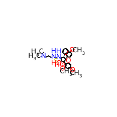 CCN(CC)CCCNC(=S)N[C@H]1[C@@H](O)[C@@]2(O)c3c(OC)cc(OC)cc3O[C@@]2(c2ccc(OC)cc2)[C@@H]1c1ccccc1